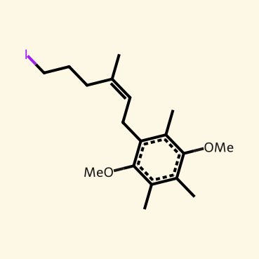 COc1c(C)c(C)c(OC)c(CC=C(C)CCCI)c1C